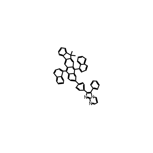 CC1(C)c2ccccc2-c2cc3c(-c4cccc5ccccc45)c4ccc(-c5ccc(-c6nc7ncccn7c6-c6ccccc6)cc5)cc4c(-c4cccc5ccccc45)c3cc21